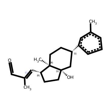 C/C(C=O)=C\[C@H]1CC[C@]2(O)C[C@@H](c3cccc(C)c3)CC[C@]12C